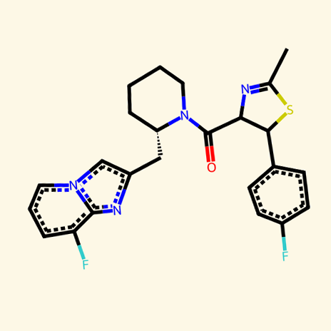 CC1=NC(C(=O)N2CCCC[C@H]2Cc2cn3cccc(F)c3n2)C(c2ccc(F)cc2)S1